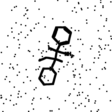 CCC(C)(N1CCCCC1)C(N)(I)c1ccccc1